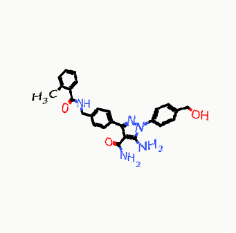 Cc1ccccc1C(=O)NCc1ccc(-c2nn(-c3ccc(CO)cc3)c(N)c2C(N)=O)cc1